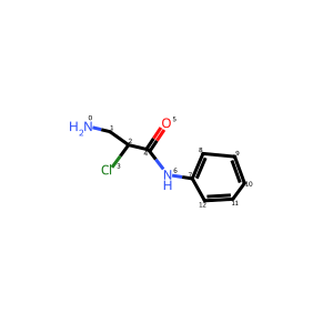 NCC(Cl)C(=O)Nc1ccccc1